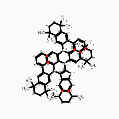 CC(C)(C)c1cc2c3c(c1)N(c1cc4c(cc1-c1ccccc1)C(C)(C)CCC4(C)C)c1c(sc4cc5c(cc14)C1(C)CCC5(C)CC1)B3c1cc3c(cc1N2c1cc2c(cc1-c1ccccc1)C(C)(C)CCC2(C)C)C(C)(C)CCC3(C)C